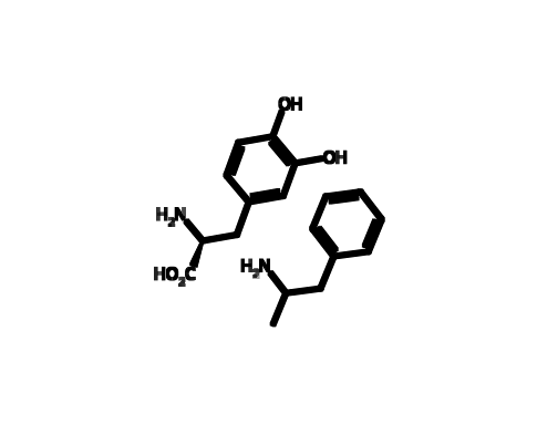 CC(N)Cc1ccccc1.N[C@@H](Cc1ccc(O)c(O)c1)C(=O)O